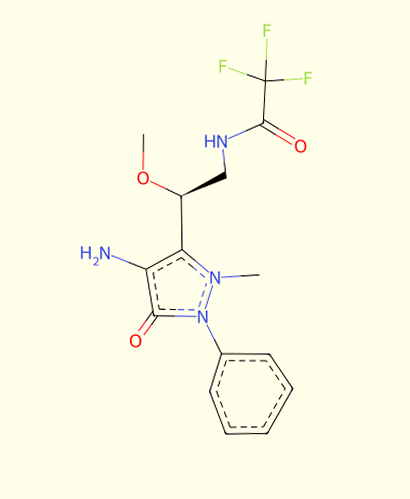 CO[C@@H](CNC(=O)C(F)(F)F)c1c(N)c(=O)n(-c2ccccc2)n1C